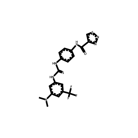 CN(C)c1cc(NC(=S)Nc2ccc(NC(=O)c3csnn3)cc2)cc(C(F)(F)F)c1